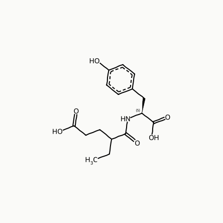 CCC(CCC(=O)O)C(=O)N[C@@H](Cc1ccc(O)cc1)C(=O)O